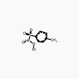 CCO[PH](=O)S(=O)(=O)c1ccc(C)cc1